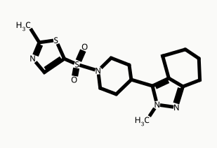 Cc1ncc(S(=O)(=O)N2CCC(c3c4c(nn3C)CCCC4)CC2)s1